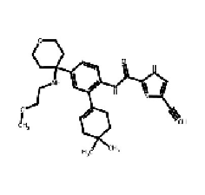 C#Cc1c[nH]c(C(=O)Nc2ccc(C3(NCCOC)CCOCC3)cc2C2=CCC(C)(C)CC2)n1